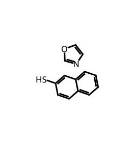 Sc1ccc2ccccc2c1.c1cocn1